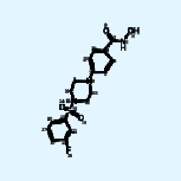 O=C(NO)c1ccc(N2CCN(S(=O)(=O)c3cccc(F)c3)CC2)cc1